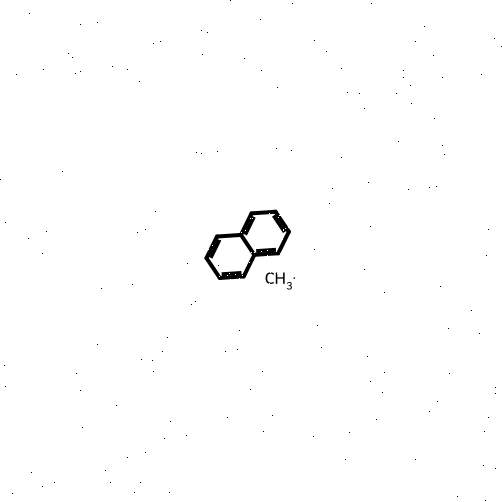 [CH3].c1ccc2ccccc2c1